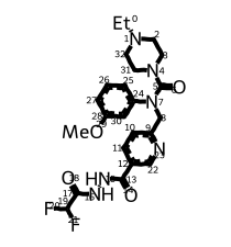 CCN1CCN(C(=O)N(Cc2ccc(C(=O)NNC(=O)C(F)F)cn2)c2cccc(OC)c2)CC1